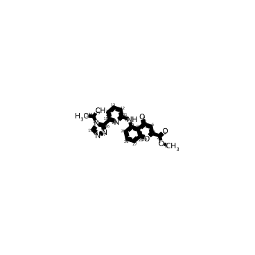 COC(=O)c1cc(=O)c2c(Nc3cccc(-c4nncn4C(C)C)n3)cccc2o1